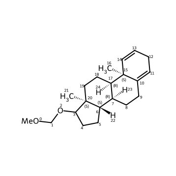 COCOC1CC[C@H]2[C@@H]3CCC4=CCC=C[C@]4(C)[C@@H]3CC[C@]12C